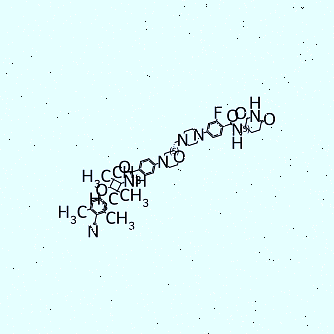 Cc1cc(O[C@H]2C(C)(C)[C@H](NC(=O)c3ccc(N4CCO[C@@H](CN5CCN(c6ccc(C(=O)N[C@H]7CCC(=O)NC7=O)c(F)c6)CC5)C4)cc3)C2(C)C)cc(C)c1C#N